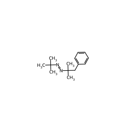 CC(C)(C)N=NC(C)(C)Cc1ccccc1